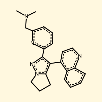 CN(C)Cc1cccc(-c2nn3c(c2-c2ccnc4ccccc24)CCC3)n1